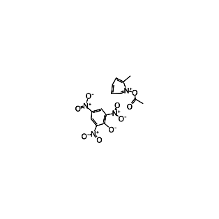 CC(=O)O[n+]1ccccc1C.O=[N+]([O-])c1cc([N+](=O)[O-])c([O-])c([N+](=O)[O-])c1